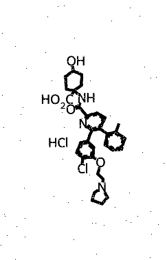 Cc1ccccc1-c1ccc(C(=O)NC2(C(=O)O)CCC(O)CC2)nc1-c1ccc(Cl)c(OCCN2CCCC2)c1.Cl